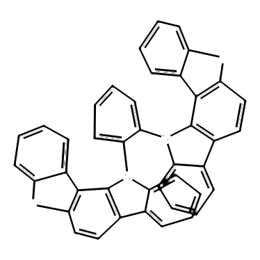 c1ccc(-n2c3ccccc3c3ccc4sc5ccccc5c4c32)c(-n2c3ccccc3c3ccc4sc5ccccc5c4c32)c1